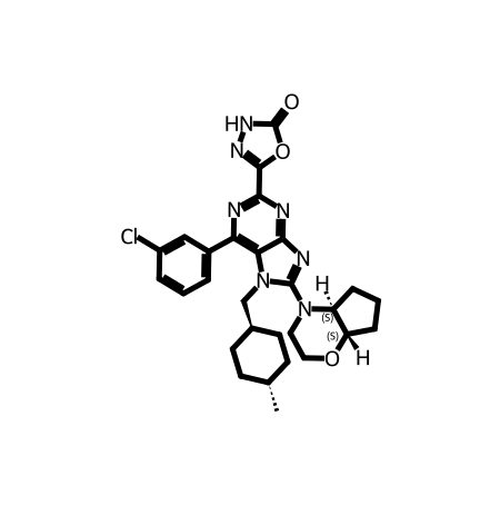 C[C@H]1CC[C@H](Cn2c(N3CCO[C@H]4CCC[C@@H]43)nc3nc(-c4n[nH]c(=O)o4)nc(-c4cccc(Cl)c4)c32)CC1